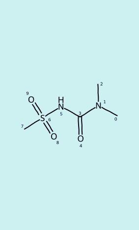 CN(C)C(=O)NS(C)(=O)=O